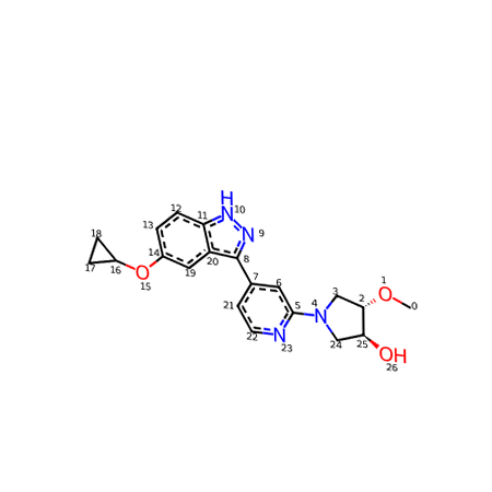 CO[C@H]1CN(c2cc(-c3n[nH]c4ccc(OC5CC5)cc34)ccn2)C[C@@H]1O